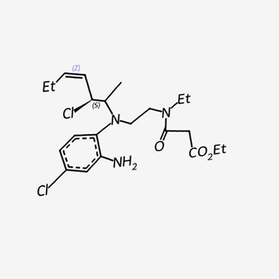 CC/C=C\[C@H](Cl)C(C)N(CCN(CC)C(=O)CC(=O)OCC)c1ccc(Cl)cc1N